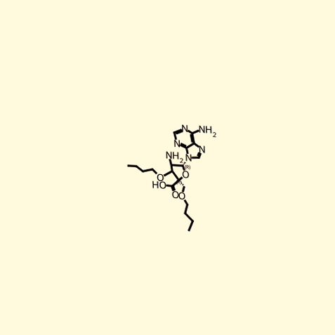 CCCCOC[C@@]1(C(=O)O)O[C@@H](n2cnc3c(N)ncnc32)C(N)C1OCCCC